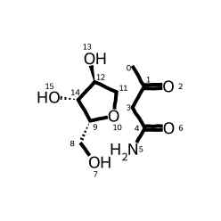 CC(=O)CC(N)=O.OC[C@H]1OC[C@H](O)[C@H]1O